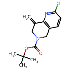 C=C1CN(C(=O)OC(C)(C)C)Cc2ccc(Cl)nc21